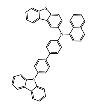 c1ccc2c(N(c3ccc(-c4ccc(-n5c6ccccc6c6ccccc65)cc4)cc3)c3ccc4sc5ccccc5c4c3)cccc2c1